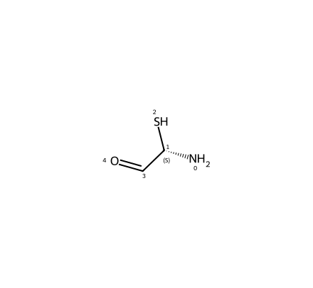 N[C@@H](S)C=O